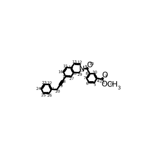 COC(=O)c1cccc(C(=O)N2C=Cc3ccc(C#CCc4ccccc4)cc3C2)c1